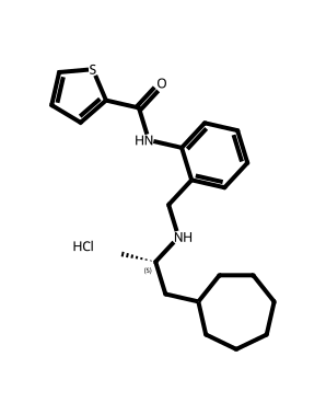 C[C@@H](CC1CCCCCC1)NCc1ccccc1NC(=O)c1cccs1.Cl